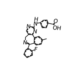 Cc1ccc2c(c1)-c1nc(Nc3ccc(C(=O)O)cc3)ncc1CN=C2c1ccccc1F